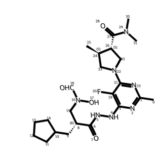 Cc1nc(NNC(=O)[C@H](CC2CCCC2)CN(O)C=O)c(F)c(N2C[C@@H](C)[C@H](C(=O)N(C)C)C2)n1